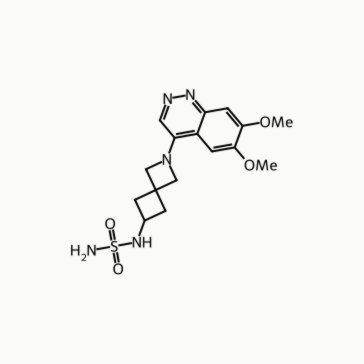 COc1cc2nncc(N3CC4(CC(NS(N)(=O)=O)C4)C3)c2cc1OC